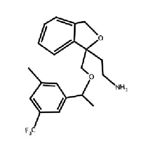 Cc1cc(C(C)OCC2(CCN)OCc3ccccc32)cc(C(F)(F)F)c1